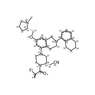 C=C(F)C(=O)N1CCN(c2cc(OC[C@@H]3CCCN3C)nc3c2CCN(c2cccc4c2CCCC4)C3)C[C@@H]1CC#N